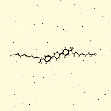 CCCCCCCNC(=N)c1ccc(N2CCN(c3ccc(C(=N)NCCCCCCC)cc3)CC2)cc1